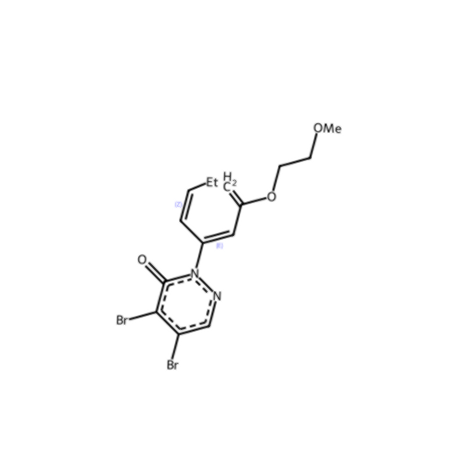 C=C(/C=C(\C=C/CC)n1ncc(Br)c(Br)c1=O)OCCOC